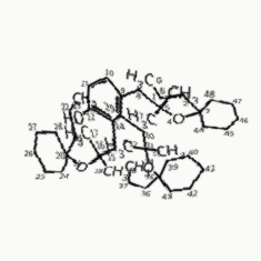 CCCC1(OC(C)(C)Cc2ccc(O)c(CC(C)(C)OC3(CCC)CCCCC3)c2CC(C)(C)OC2(CCC)CCCCC2)CCCCC1